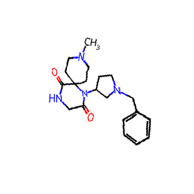 CN1CCC2(CC1)C(=O)NCC(=O)N2C1CCN(Cc2ccccc2)C1